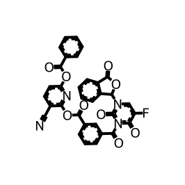 N#Cc1ccc(OC(=O)c2ccccc2)nc1OC(=O)c1cccc(C(=O)n2c(=O)c(F)cn(C3OC(=O)c4ccccc43)c2=O)c1